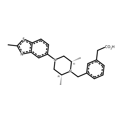 Cc1nc2cc(N3C[C@@H](C)N(Cc4cccc(CC(=O)O)c4)[C@@H](C)C3)ccc2s1